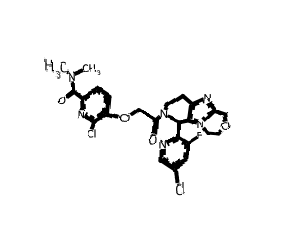 CN(C)C(=O)c1ccc(OCC(=O)N2CCc3nc4n(c3C2c2ncc(Cl)cc2F)CCOC4)c(Cl)n1